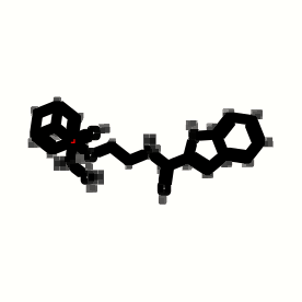 O=C(NCCOC1=CC2CC(=C1)C2C(=O)NO)c1cc2ccccc2s1